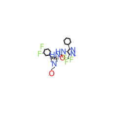 COCCN1C[C@@H](NC(=O)Nc2c(-c3ccccc3)nn(C)c2C(F)(F)F)[C@H](c2ccc(F)c(F)c2)C1